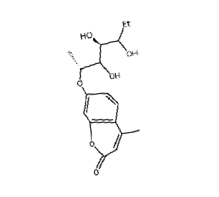 CCC(O)[C@H](O)C(O)[C@@H](C)Oc1ccc2c(C)cc(=O)oc2c1